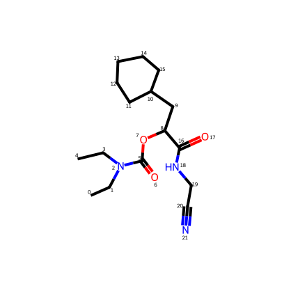 CCN(CC)C(=O)OC(CC1CCCCC1)C(=O)NCC#N